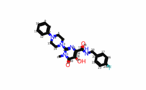 Cn1c(N2CCN(c3ccccc3)CC2)nc(C(=O)NCc2ccc(F)cc2)c(O)c1=O